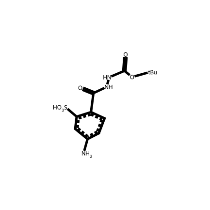 CC(C)(C)OC(=O)NNC(=O)c1ccc(N)cc1S(=O)(=O)O